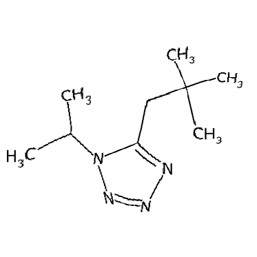 CC(C)n1nnnc1CC(C)(C)C